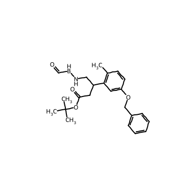 Cc1ccc(OCc2ccccc2)cc1C(CNBC=O)CC(=O)OC(C)(C)C